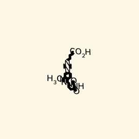 Cn1nc(N2CCC(=O)NC2=O)c2ccc(N3CCN(CCCCC(=O)O)CC3)cc21